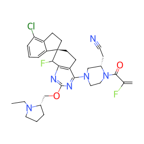 C=C(F)C(=O)N1CCN(c2nc(OC[C@@H]3CCCN3CC)nc3c2CC[C@@]2(CCc4c(Cl)cccc42)C3F)C[C@@H]1CC#N